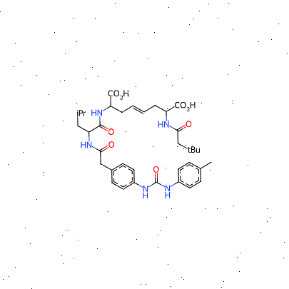 Cc1ccc(NC(=O)Nc2ccc(CC(=O)NC(CC(C)C)C(=O)NC(CC=CCC(NC(=O)CC(C)(C)C)C(=O)O)C(=O)O)cc2)cc1